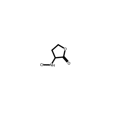 O=C1OCCC1NCl